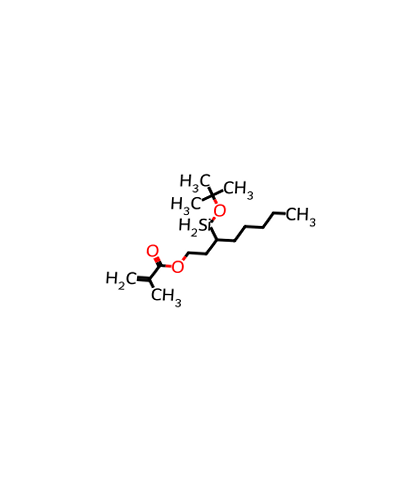 C=C(C)C(=O)OCCC(CCCCC)[SiH2]OC(C)(C)C